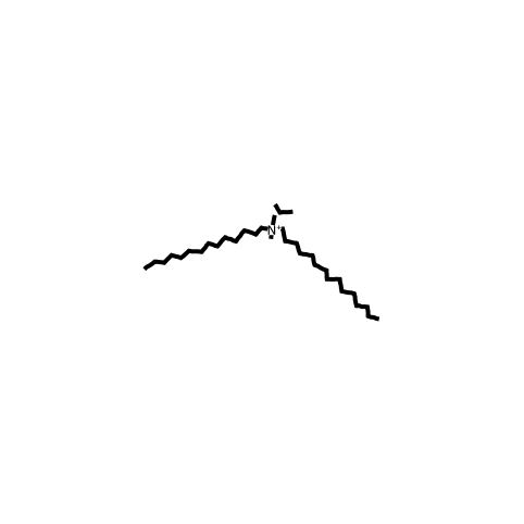 CCC.CCCCCCCCCCCCCCC[N+](C)(C)CCCCCCCCCCCCCC